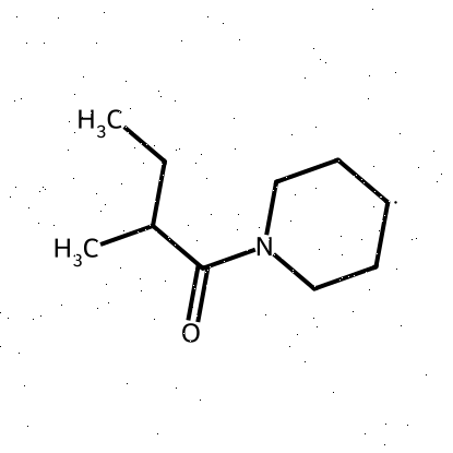 CCC(C)C(=O)N1CC[CH]CC1